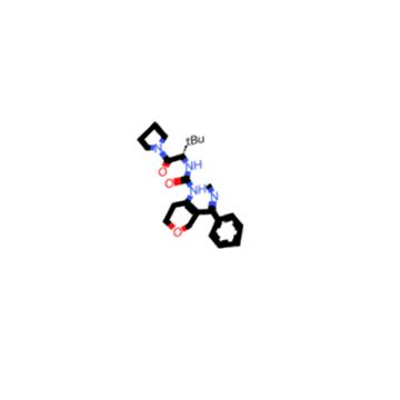 C/N=C(\C1=C(NC(=O)N[C@H](C(=O)N2CCCC2)C(C)(C)C)CCOC1)c1ccccc1